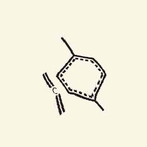 C=C=C.Cc1ccc(C)cc1